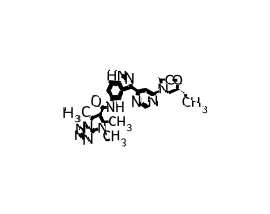 CC[C@@H]1CN(c2cc(-c3n[nH]c4ccc(NC(=O)C5=C(C)N(C)c6nnnn6C5C)cc34)ncn2)CCO1